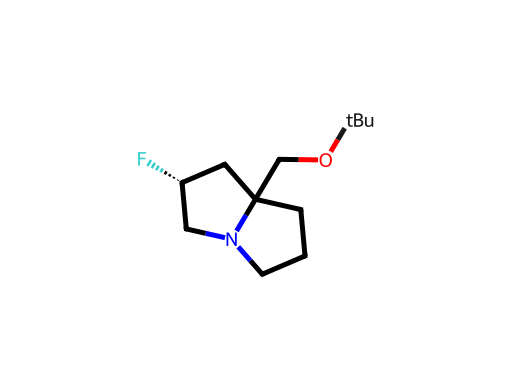 CC(C)(C)OCC12CCCN1C[C@H](F)C2